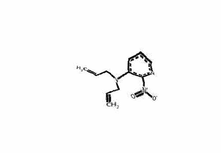 C=CCN(CC=C)c1cccnc1[N+](=O)[O-]